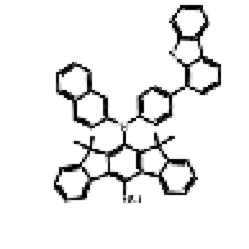 CC(C)(C)c1c2c(c(N(c3ccc(-c4cccc5c4sc4ccccc45)cc3)c3ccc4ccccc4c3)c3c1-c1ccccc1C3(C)C)C(C)(C)c1ccccc1-2